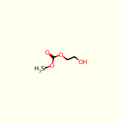 O=C(O[SiH3])OCCO